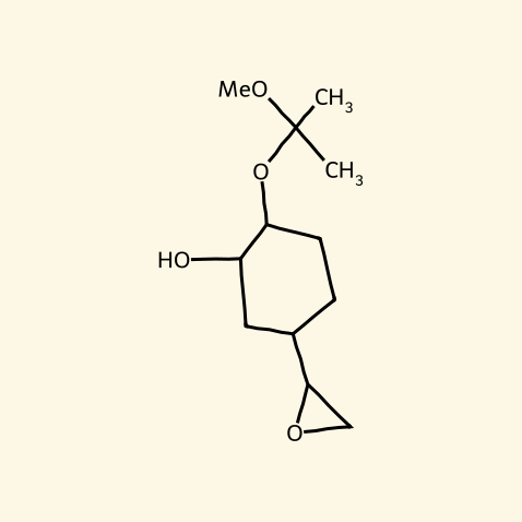 COC(C)(C)OC1CCC(C2CO2)CC1O